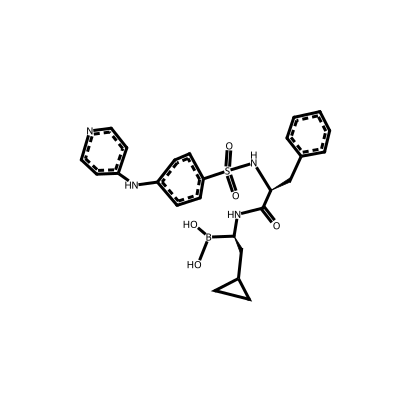 O=C(N[C@@H](CC1CC1)B(O)O)[C@H](Cc1ccccc1)NS(=O)(=O)c1ccc(Nc2ccncc2)cc1